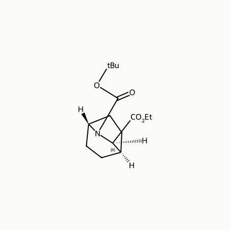 CCOC(=O)[C@H]1[C@H]2CC[C@@H](CC2)N1C(=O)OC(C)(C)C